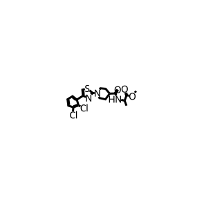 COC(=O)C(C)NC(=O)C1CCN(c2nc(-c3cccc(Cl)c3Cl)cs2)CC1